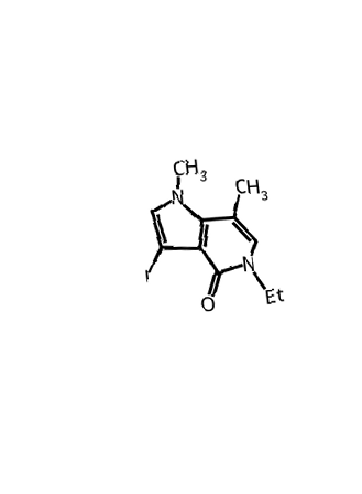 CCn1cc(C)c2c(c(I)cn2C)c1=O